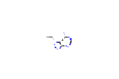 CCn1nnc2ncnc(N)c21